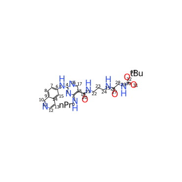 CCCNc1nc(Nc2ccc3cnccc3c2)ncc1C(=O)NCCCNC(=O)CNC(=O)OC(C)(C)C